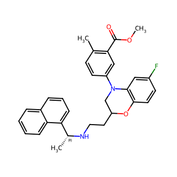 COC(=O)c1cc(N2CC(CCN[C@H](C)c3cccc4ccccc34)Oc3ccc(F)cc32)ccc1C